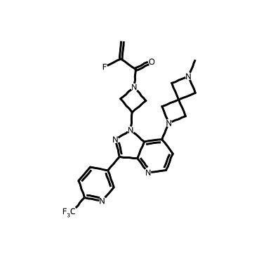 C=C(F)C(=O)N1CC(n2nc(-c3ccc(C(F)(F)F)nc3)c3nccc(N4CC5(CN(C)C5)C4)c32)C1